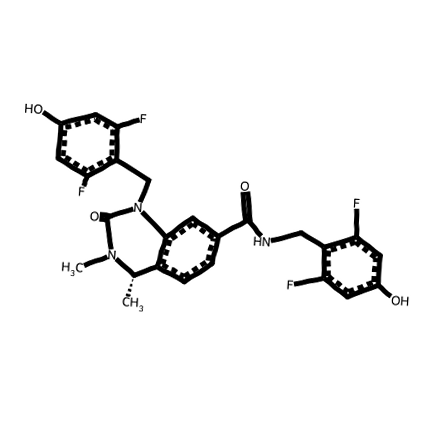 C[C@H]1c2ccc(C(=O)NCc3c(F)cc(O)cc3F)cc2N(Cc2c(F)cc(O)cc2F)C(=O)N1C